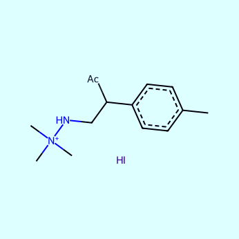 CC(=O)C(CN[N+](C)(C)C)c1ccc(C)cc1.I